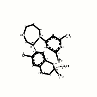 CCOC(=O)[C@]1(C)CNc2cc(Cl)c([C@@H]3COCCCN3c3cc(C)nc(N)n3)cc2O1